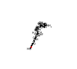 CC(C)(COP(=O)(O)OP(=O)(O)OC[C@H]1O[C@H](n2cnc3c(N)ncnc32)[C@H](O)[C@@H]1OP(=O)(O)O)[C@@H](O)C(=O)NCCC(=O)NCCSC(=O)CCCCCO